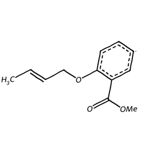 CC=CCOc1cc[c]cc1C(=O)OC